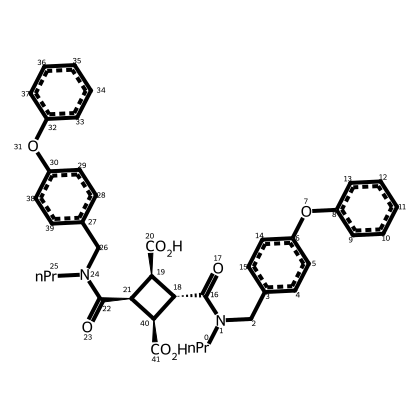 CCCN(Cc1ccc(Oc2ccccc2)cc1)C(=O)[C@H]1[C@H](C(=O)O)[C@H](C(=O)N(CCC)Cc2ccc(Oc3ccccc3)cc2)[C@@H]1C(=O)O